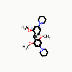 C#C/C=C(\C=C(/CCc1c(OC)cc(N2CCCCC2)cc1OC)OC)N1CCCCC1